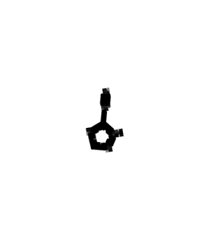 N#[N+]c1ncn[nH]1